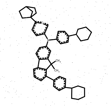 CC1(C)c2cc(N(c3ccc(C4CCCCC4)cc3)c3ccc(C45CCC(CC4)C5)cc3)ccc2-c2cccc(-c3ccc(C4CCCCC4)cc3)c21